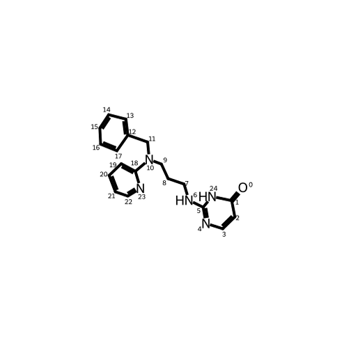 O=c1ccnc(NCCCN(Cc2ccccc2)c2ccccn2)[nH]1